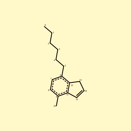 CCCCCCc1ccc(C)c2c1CC=C2